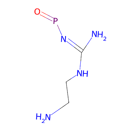 NCCNC(N)=NP=O